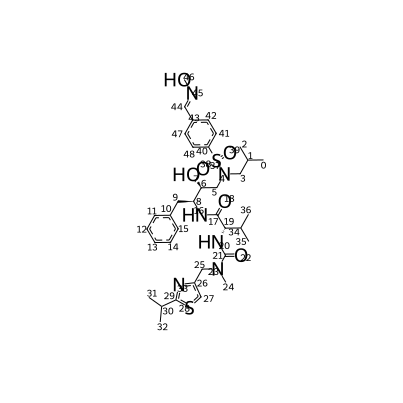 CC(C)CN(C[C@H](O)[C@H](Cc1ccccc1)NC(=O)[C@@H](NC(=O)N(C)Cc1csc(C(C)C)n1)C(C)C)S(=O)(=O)c1ccc(C=NO)cc1